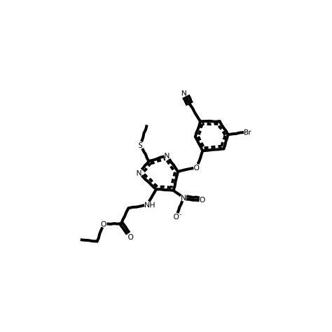 CCOC(=O)CNc1nc(SC)nc(Oc2cc(Br)cc(C#N)c2)c1[N+](=O)[O-]